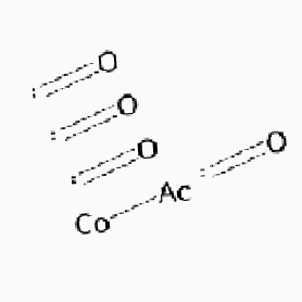 C[C](=O)[Co].[C]=O.[C]=O.[C]=O.[C]=O